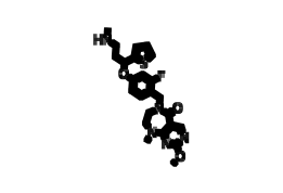 CNCCC(Oc1ccc(CN2CCN(C)c3nc(OC)ncc3C2=O)c(F)c1)c1cccs1